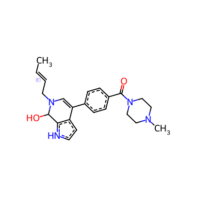 C/C=C/CN1C=C(c2ccc(C(=O)N3CCN(C)CC3)cc2)c2cc[nH]c2C1O